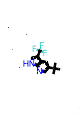 CC(C)(C)c1cnc2[nH]cc(C(F)(F)F)c2c1